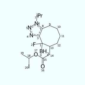 BC1(F)c2nnn(C(C)C)c2CCCCC1CC(=O)OC(C)I